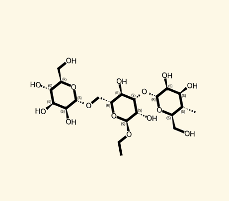 CCO[C@H]1O[C@H](CO[C@H]2O[C@H](CO)[C@@H](O)[C@H](O)[C@@H]2O)[C@@H](O)[C@H](O[C@H]2O[C@H](CO)[C@@H](C)[C@H](O)[C@@H]2O)[C@@H]1O